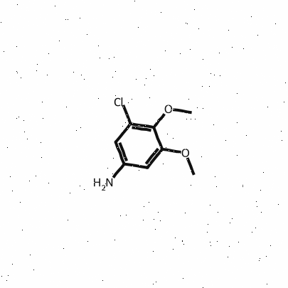 COc1cc(N)cc(Cl)c1OC